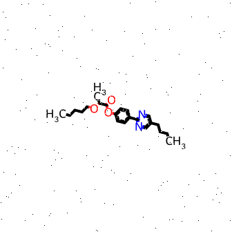 CCCCCOC(C)C(=O)Oc1ccc(-c2ncc(CCCC)cn2)cc1